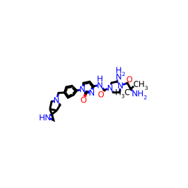 CC(C)(N)C(=O)N1CCN(C(=O)Nc2ccn(-c3ccc(CN4CC5C(C4)C54CN4)cc3)c(=O)n2)C[C@H]1N